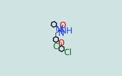 O=c1[nH]nc(Cc2ccc(Cl)c(Oc3cccc(Cl)c3)c2)n1-c1ccccc1